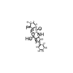 Cc1ccc(C(=O)CNc2cc(-c3ccccc3)sc2C(=O)O)c(F)c1F